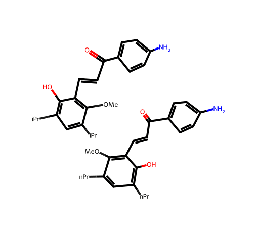 CCCc1cc(CCC)c(OC)c(C=CC(=O)c2ccc(N)cc2)c1O.COc1c(C(C)C)cc(C(C)C)c(O)c1C=CC(=O)c1ccc(N)cc1